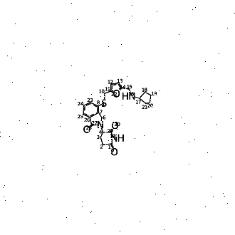 O=C1CCC(N2Cc3c(SCc4ccc(CNC5CCCC5)o4)cccc3C2=O)C(=O)N1